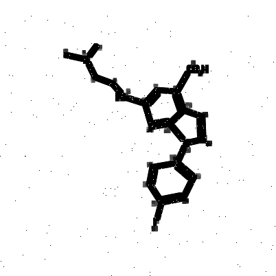 CN(C)CCNc1cc(C(=O)O)c2cnn(-c3ccc(F)cc3)c2c1